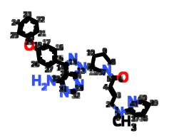 CN(CC=CC(=O)N1CCC[C@@H](n2nc(-c3ccc(Oc4ccccc4)cc3)c3c(N)ncnc32)C1)c1ccccn1